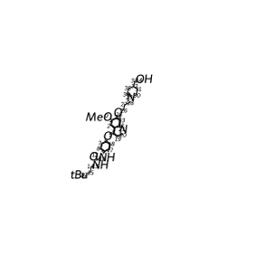 COc1cc2c(Oc3ccc(NC(=O)NCCC(C)(C)C)cc3)ccnc2cc1OCCCN1CCC(CO)CC1